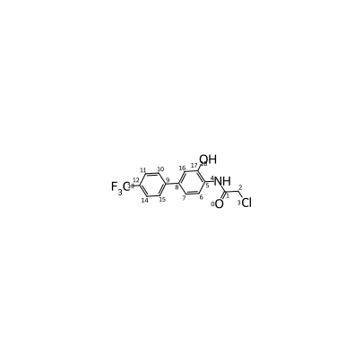 O=C(CCl)Nc1ccc(-c2ccc(C(F)(F)F)cc2)cc1O